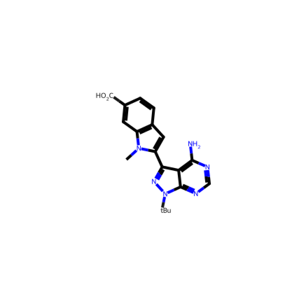 Cn1c(-c2nn(C(C)(C)C)c3ncnc(N)c23)cc2ccc(C(=O)O)cc21